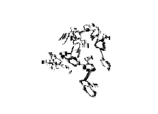 CN(c1ccc(-c2cc(-c3cc4ccccc4[nH]3)ccc2O)nn1)C1CC(C)(C)NC(C)(C)C1.CN(c1ccc(-c2cc(C3=CCCC3)ccc2O)nn1)C1CC(C)(C)NC(C)(C)C1